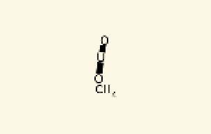 C.[O]=[U]=[O]